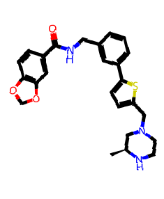 C[C@H]1CN(Cc2ccc(-c3cccc(CNC(=O)c4ccc5c(c4)OCO5)c3)s2)CCN1